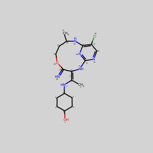 C/C(NC1CCC(O)CC1)=C1\Nc2ncc(Cl)c(n2)NC(C)CCOC1=N